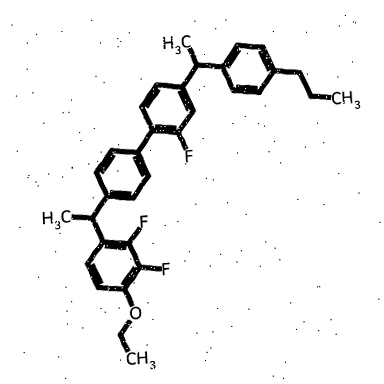 CCCc1ccc(C(C)c2ccc(-c3ccc(C(C)c4ccc(OCC)c(F)c4F)cc3)c(F)c2)cc1